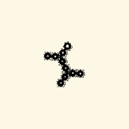 C1=CCC=CC(c2ccc(N(c3ccc(-c4ccccc4)cc3)c3ccc(-c4ccc(N(c5ccc(-c6ccccc6)cc5)c5ccc(-c6ccccc6)cc5)cc4)cc3)cc2)=C1